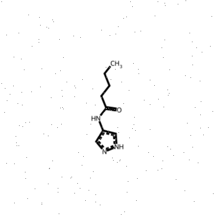 CCCCC(=O)Nc1cn[nH]c1